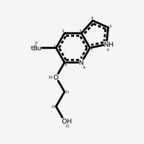 CC(C)(C)c1cc2cc[nH]c2nc1OCCO